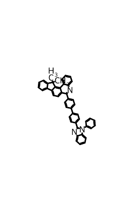 CC1(C)c2ccccc2-c2ccc3c(-c4ccc(-c5ccc(-c6nc7ccccc7n6-c6ccccc6)cc5)cc4)nc4ccccc4c3c21